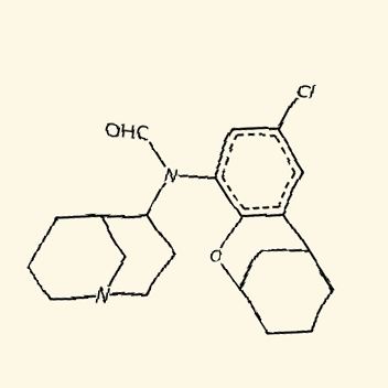 O=CN(c1cc(Cl)cc2c1OC1CCCC2C1)C1CCN2CCCC1C2